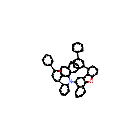 c1ccc(-c2ccc(-c3ccccc3N(c3cccc4ccccc34)c3cc4c(oc5cccc(-c6cccc(-c7ccccc7)c6)c54)c4ccccc34)cc2)cc1